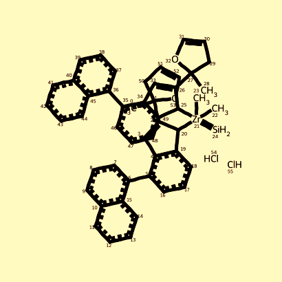 CC1(C2=Cc3c(-c4cccc5ccccc45)cccc3[CH]2[Zr]([CH3])([CH3])(=[SiH2])[CH]2C(C3(C)CC=CO3)=Cc3c(-c4cccc5ccccc45)cccc32)CC=CO1.Cl.Cl